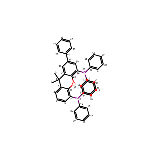 CC1(C)c2cccc(P(c3ccccc3)c3ccccc3)c2Oc2c(P(c3ccccc3)c3ccccc3)cc(-c3ccccc3)cc21